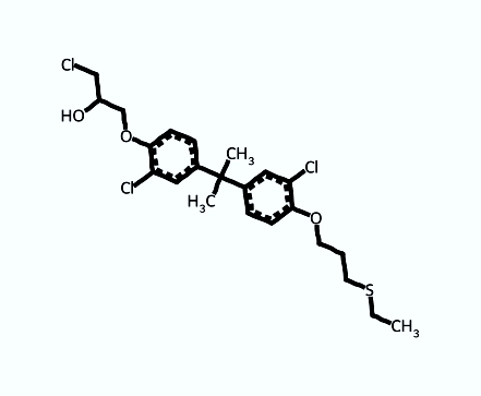 CCSCCCOc1ccc(C(C)(C)c2ccc(OCC(O)CCl)c(Cl)c2)cc1Cl